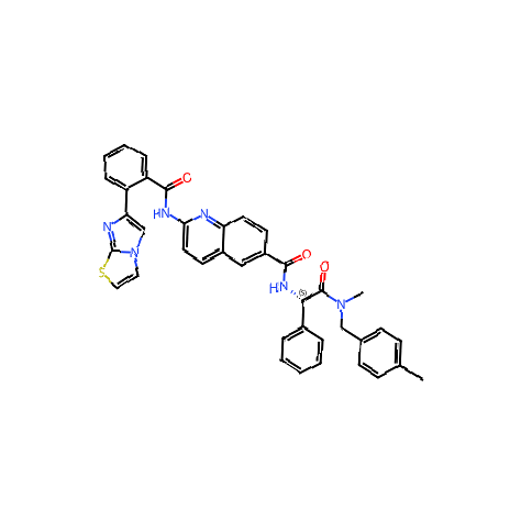 Cc1ccc(CN(C)C(=O)[C@@H](NC(=O)c2ccc3nc(NC(=O)c4ccccc4-c4cn5ccsc5n4)ccc3c2)c2ccccc2)cc1